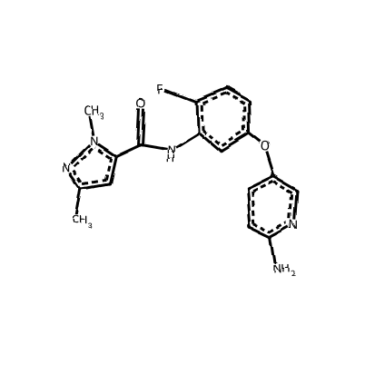 Cc1cc(C(=O)Nc2cc(Oc3ccc(N)nc3)ccc2F)n(C)n1